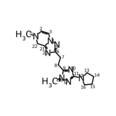 CN1C=Cn2nc(CCc3nc(N4CCCC4)nn3C)nc2C1